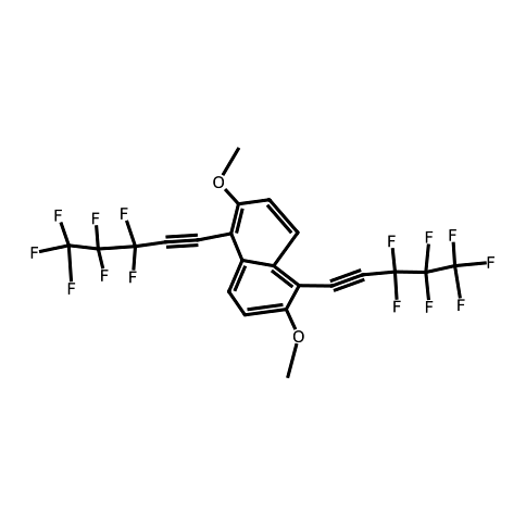 COc1ccc2c(C#CC(F)(F)C(F)(F)C(F)(F)F)c(OC)ccc2c1C#CC(F)(F)C(F)(F)C(F)(F)F